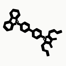 C=C/C=C\c1c(C)c(C)c(/C=C\C=C)n1-c1ccc(-c2ccc(-n3c4ccccc4c4ccccc43)cc2)cc1